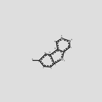 Cc1ccc2oc3cnncc3c2c1